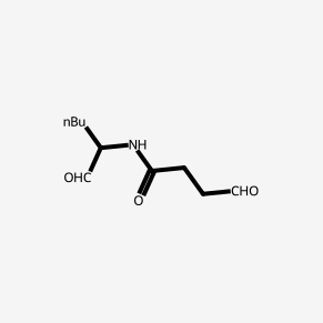 CCCCC(C=O)NC(=O)CCC=O